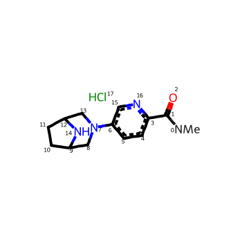 CNC(=O)c1ccc(N2CC3CCC(C2)N3)cn1.Cl